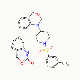 Cc1cccc(S(=O)(=O)N2CCC(N3COCc4ccccc43)CC2)c1.O=c1nc2ccccc2co1